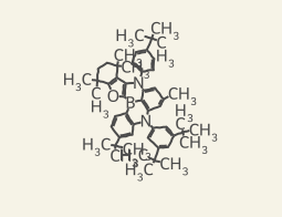 Cc1cc2c3c(c1)N(c1ccc(C(C)(C)C)cc1)c1c(oc4c1C(C)(C)CCC4(C)C)B3c1ccc(C(C)(C)C)cc1N2c1cc(C(C)(C)C)cc(C(C)(C)C)c1